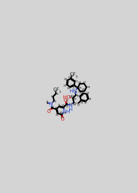 CN(CCCC(F)(F)F)C(=O)c1cc(C(=O)N[C@@H](Cc2ccccc2)[C@H](O)CNC2(c3cccc(C(F)(F)F)c3)CCCCC2)[nH]c(=O)c1